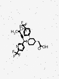 C=C(C)C#C[C@H](c1ccc(C(F)(F)F)nc1)N1CC[C@@H](CC(=O)O)C[C@H]1c1ccc(C(F)(F)F)cc1